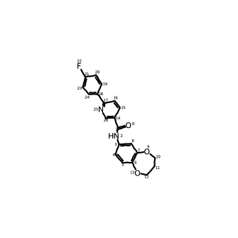 O=C(Nc1ccc2c(c1)OCCCO2)c1ccc(-c2ccc(F)cc2)nc1